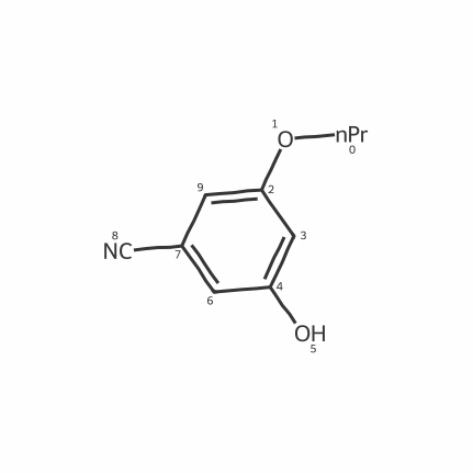 CCCOc1cc(O)cc(C#N)c1